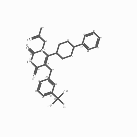 CC(=O)Cn1c(C2CCC(c3ccccc3)CC2)c(Cc2cccc(C(F)(F)F)c2)c(=O)[nH]c1=O